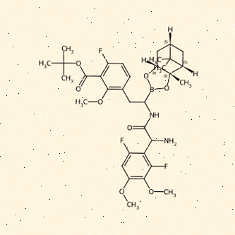 COc1cc(F)c(C(N)C(=O)NC(Cc2ccc(F)c(C(=O)OC(C)(C)C)c2OC)B2O[C@@H]3C[C@@H]4C[C@@H](C4(C)C)[C@]3(C)O2)c(F)c1OC